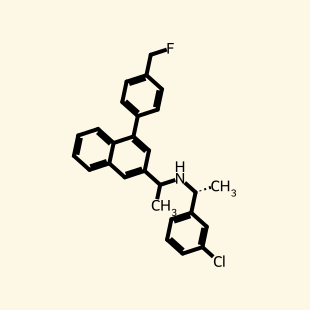 CC(N[C@H](C)c1cccc(Cl)c1)c1cc(-c2ccc(CF)cc2)c2ccccc2c1